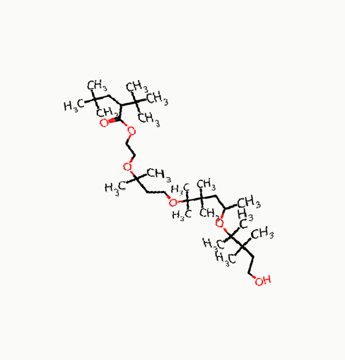 CC(CC(C)(C)C(C)(C)OCCC(C)(C)OCCOC(=O)C(CC(C)(C)C)C(C)(C)C)OC(C)(C)C(C)(C)CCO